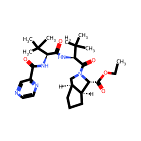 CCOC(=O)[C@@H]1[C@H]2CCC[C@H]2CN1C(=O)[C@@H](NC(=O)[C@@H](NC(=O)c1cnccn1)C(C)(C)C)C(C)(C)C